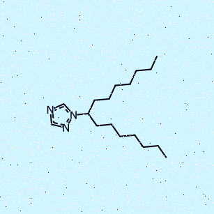 CCCCCCCC(CCCCCCC)n1cncn1